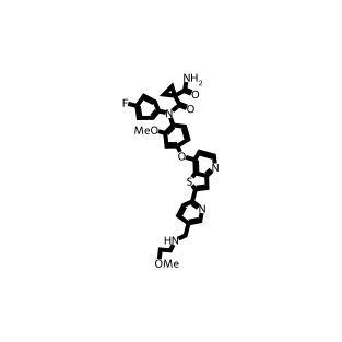 COCCNCc1ccc(-c2cc3nccc(Oc4ccc(N(C(=O)C5(C(N)=O)CC5)c5ccc(F)cc5)c(OC)c4)c3s2)nc1